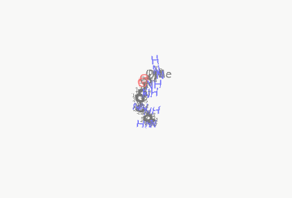 COC(=O)[C@H](Cc1c[nH]cn1)NC(=O)c1cc2ccc(-c3nccc(Nc4ccc5[nH]ncc5c4)n3)cc2[nH]1